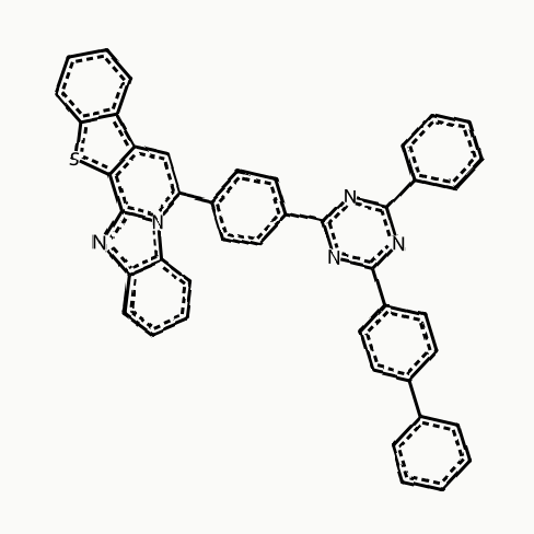 c1ccc(-c2ccc(-c3nc(-c4ccccc4)nc(-c4ccc(-c5cc6c7ccccc7sc6c6nc7ccccc7n56)cc4)n3)cc2)cc1